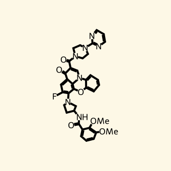 COc1cccc(C(=O)NC2CCN(c3c(F)cc4c(=O)c(C(=O)N5CCN(c6ncccn6)CC5)cn5c4c3Oc3ccccc3-5)C2)c1OC